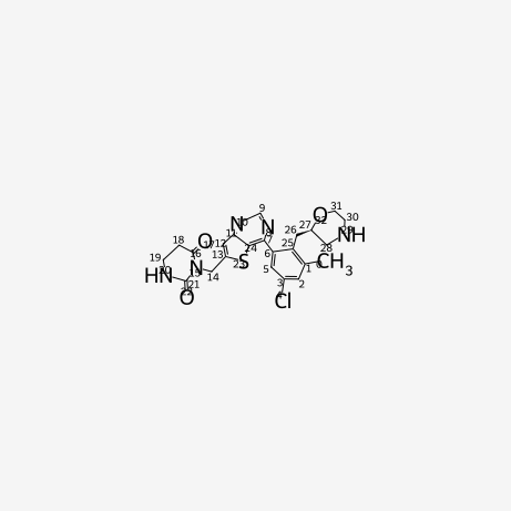 Cc1cc(Cl)cc(-c2ncnc3cc(CN4C(=O)CCNC4=O)sc23)c1C[C@@H]1CNCCO1